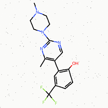 Cc1nc(N2CCN(C)CC2)ncc1-c1cc(C(F)(F)F)ccc1O